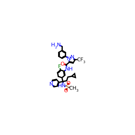 CS(=O)(=O)NC(CCC1CC1)(c1ccncc1)C1C=C(NC(=O)c2cc(C(F)(F)F)nn2-c2cccc(CN)c2)C(F)=CC1